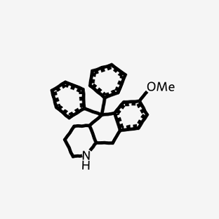 COc1ccc2c(c1)C(c1ccccc1)(c1ccccc1)C1CCCNC1C2